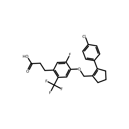 O=C(O)CCc1cc(F)c(OCC2=C(c3ccc(Cl)cc3)CCC2)cc1C(F)(F)F